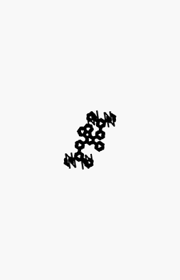 c1ccc(-c2cc(-c3cccc(-c4cc(-c5ncccn5)cc(-c5ncccn5)c4)c3)c3c(c2-c2cccc(-c4cc(-c5ncccn5)cc(-c5ncccn5)c4)c2)-c2cccc4cccc-3c24)cc1